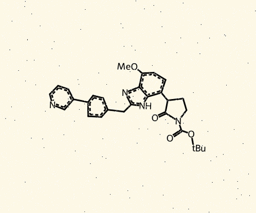 COc1ccc(C2CCN(C(=O)OC(C)(C)C)C2=O)c2[nH]c(Cc3ccc(-c4cccnc4)cc3)nc12